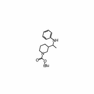 CC(Nc1ccccc1)C1CCCN(C(=O)OC(C)(C)C)C1